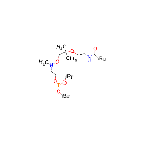 CCC(C)OP(OCCN(C)OCC(C)(C)OCCNC(=O)C(C)CC)OC(C)C